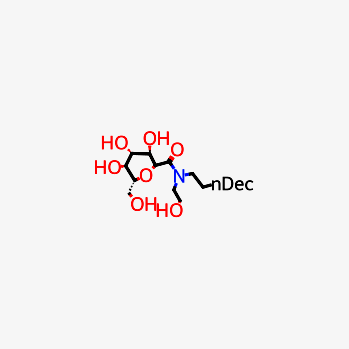 CCCCCCCCCCCCN(CCO)C(=O)C1O[C@H](CO)[C@@H](O)[C@H](O)[C@H]1O